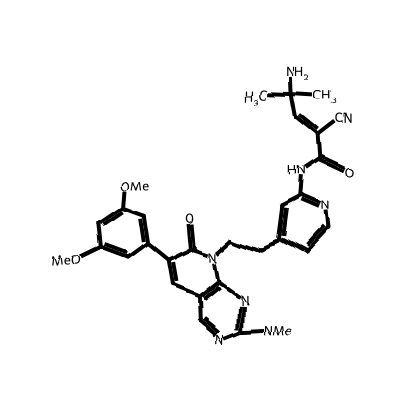 CNc1ncc2cc(-c3cc(OC)cc(OC)c3)c(=O)n(CCc3ccnc(NC(=O)C(C#N)=CC(C)(C)N)c3)c2n1